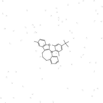 Cc1ccc2oc3c(c2c1)CCCc1ccccc1N3c1c(C)cc(C(C)(C)C)cc1C